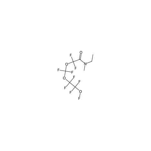 CCN(C)C(=O)C(F)(F)OC(F)(F)OC(F)(F)C(F)(F)OF